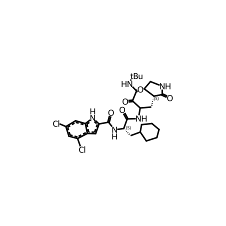 CC(C)(C)NC(=O)C(=O)C(C[C@@H]1CCNC1=O)NC(=O)[C@H](CC1CCCCC1)NC(=O)c1cc2c(Cl)cc(Cl)cc2[nH]1